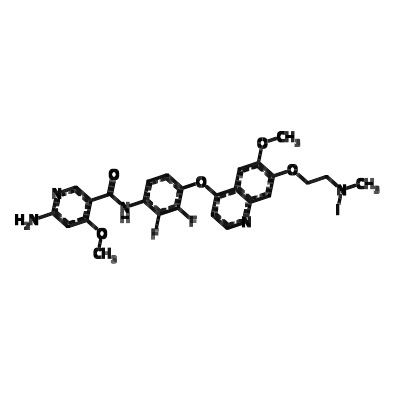 COc1cc2c(Oc3ccc(NC(=O)c4cnc(N)cc4OC)c(F)c3F)ccnc2cc1OCCN(C)I